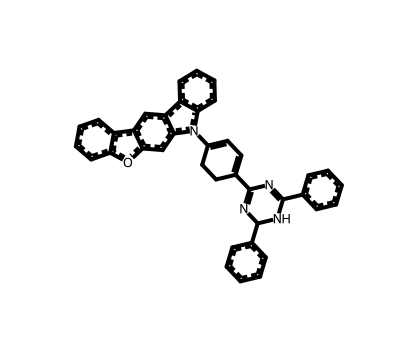 C1=C(C2=NC(c3ccccc3)NC(c3ccccc3)=N2)CCC(n2c3ccccc3c3cc4c(cc32)oc2ccccc24)=C1